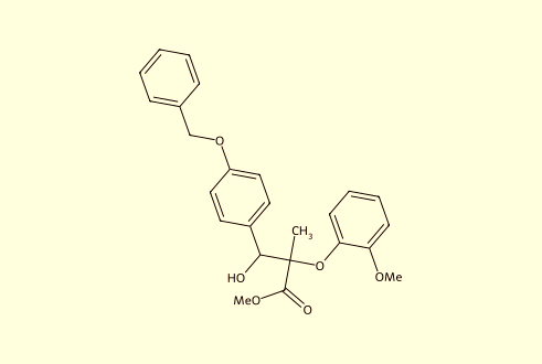 COC(=O)C(C)(Oc1ccccc1OC)C(O)c1ccc(OCc2ccccc2)cc1